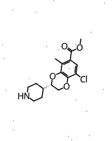 COC(=O)c1cc(Cl)c2c(c1C)O[C@@H](C1CCNCC1)CO2